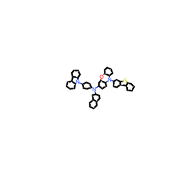 c1ccc2c(c1)Oc1cc(N(c3ccc(-n4c5ccccc5c5ccccc54)cc3)c3ccc4ccccc4c3)ccc1N2c1ccc2c(c1)sc1ccccc12